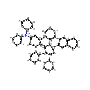 c1ccc(-c2cc(-c3ccc4ccccc4c3)c3c4ccccc4c4cc(N(c5ccccc5)c5ccccc5)ccc4c3c2-c2ccccc2)cc1